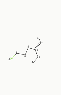 C/C=C(/CC)CCCF